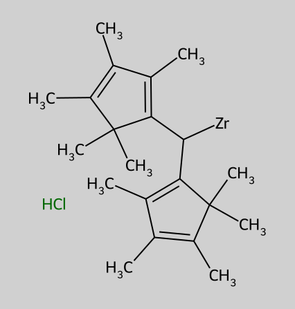 CC1=C(C)C(C)(C)C([CH]([Zr])C2=C(C)C(C)=C(C)C2(C)C)=C1C.Cl